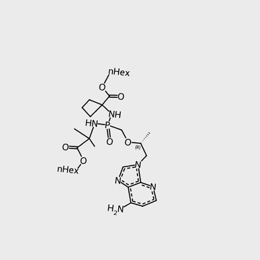 CCCCCCOC(=O)C(C)(C)NP(=O)(CO[C@H](C)Cn1cnc2c(N)ccnc21)NC1(C(=O)OCCCCCC)CCC1